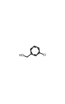 O[CH]c1cccc(Cl)c1